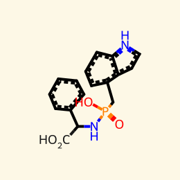 O=C(O)C(NP(=O)(O)Cc1cccc2[nH]ccc12)c1ccccc1